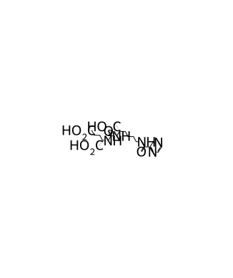 O=C(O)CC[C@H](NC(=O)N[C@@H](CCCCNC(=O)c1cnccn1)C(=O)O)C(=O)O